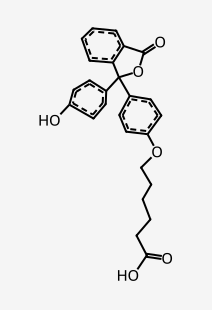 O=C(O)CCCCCOc1ccc(C2(c3ccc(O)cc3)OC(=O)c3ccccc32)cc1